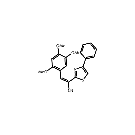 COc1cc(OC)c(OC)cc1C=C(C#N)c1nc(-c2ccccc2)cs1